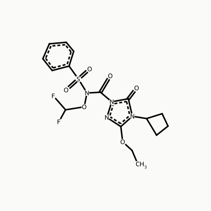 CCOc1nn(C(=O)N(OC(F)F)S(=O)(=O)c2ccccc2)c(=O)n1C1CCC1